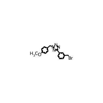 COc1ccc(Cn2nnc(-c3cccc(CBr)c3)n2)cc1